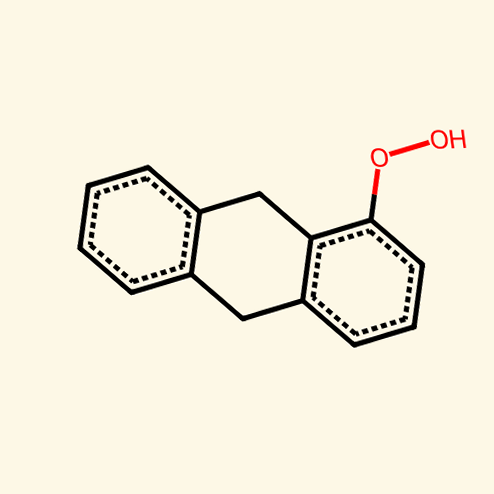 OOc1cccc2c1Cc1ccccc1C2